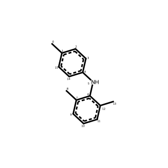 Cc1ccc(Nc2c(C)cccc2C)cc1